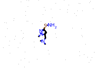 CN(C)Cc1cc(SN)nn1C